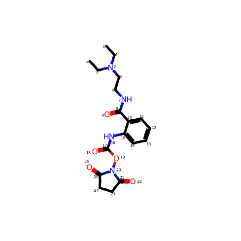 CCN(CC)CCNC(=O)c1ccccc1NC(=O)ON1C(=O)CCC1=O